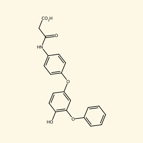 O=C(O)CC(=O)Nc1ccc(Oc2ccc(O)c(Oc3ccccc3)c2)cc1